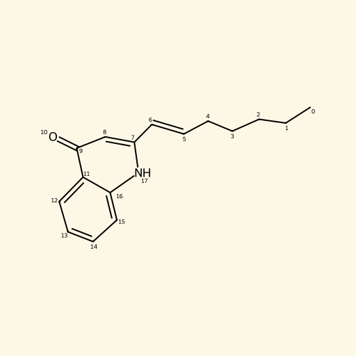 CCCCCC=Cc1cc(=O)c2ccccc2[nH]1